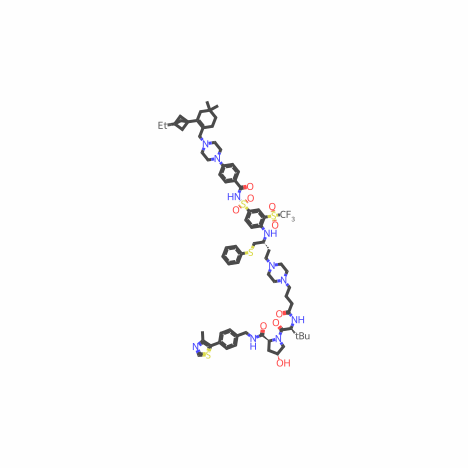 CCC12CC(C3=C(CN4CCN(c5ccc(C(=O)NS(=O)(=O)c6ccc(N[C@H](CCN7CCN(CCCC(=O)N[C@H](C(=O)N8C[C@H](O)C[C@H]8C(=O)NCc8ccc(-c9scnc9C)cc8)C(C)(C)C)CC7)CSc7ccccc7)c(S(=O)(=O)C(F)(F)F)c6)cc5)CC4)CCC(C)(C)C3)(C1)C2